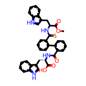 COC(=O)C(Cc1c[nH]c2ccccc12)NC(=S)c1ccccc1-c1ccccc1C(=O)N[C@@H](Cc1c[nH]c2ccccc12)C(=O)O